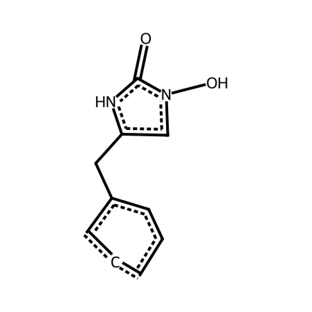 O=c1[nH]c(Cc2ccccc2)cn1O